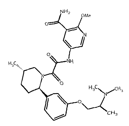 COc1ncc(NC(=O)C(=O)N2C[C@@H](C)CC[C@@H]2c2cccc(OCC(C)N(C)C)c2)cc1C(N)=O